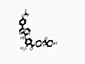 Cc1cc(Nc2nccn3c(-c4ccc(OC(F)F)cc4)cnc23)ccc1C(=O)N1CCN(C(=O)C2(F)CCNCC2)CC1